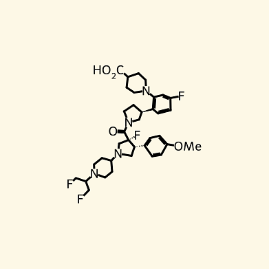 COc1ccc([C@@H]2CN(C3CCN(C(CF)CF)CC3)C[C@@]2(F)C(=O)N2CC[C@@H](c3ccc(F)cc3N3CCC(C(=O)O)CC3)C2)cc1